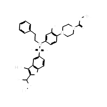 CCOC(O)c1oc2ccc(S(=O)(=O)N(CCc3ccccc3)c3ccc(N4CCN(C(=O)OC(C)(C)C)CC4)c(C(F)(F)F)c3)cc2c1C